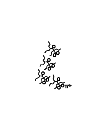 CCCC(CCC)C(=O)C(CCC)(CCC)C(=O)[O-].CCCC(CCC)C(=O)C(CCC)(CCC)C(=O)[O-].CCCC(CCC)C(=O)C(CCC)(CCC)C(=O)[O-].CCCC(CCC)C(=O)C(CCC)(CCC)C(=O)[O-].[Ti+4]